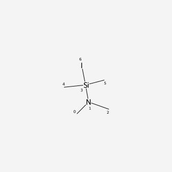 CN(C)[Si](C)(C)I